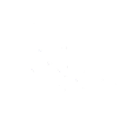 CCOC(=O)C1=C(CN2CCO[C@@H]3CN(S(=O)(=O)C4CC(C)(C(=O)OCC[Si](C)(C)C)C4)C[C@@H]32)NC(c2nccs2)=NC1c1cccc(F)c1C